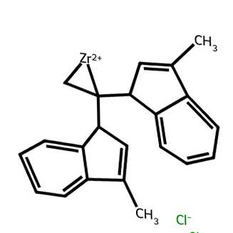 CC1=CC([C]2(C3C=C(C)c4ccccc43)[CH2][Zr+2]2)c2ccccc21.[Cl-].[Cl-]